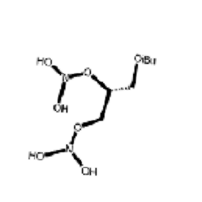 CC(C)COC[C@H](CON(O)O)ON(O)O